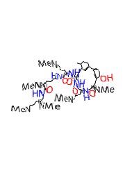 CNCCC[C@@H](CNC(=O)[C@H](CCCCNC(=O)[C@@H](CCCNC)NC(=O)[C@@H]1Cc2cc(ccc2C)-c2ccc(O)c(c2)C[C@H](NC)C(=O)N[C@@H](CCCNC)C(=O)N1)NC)NC